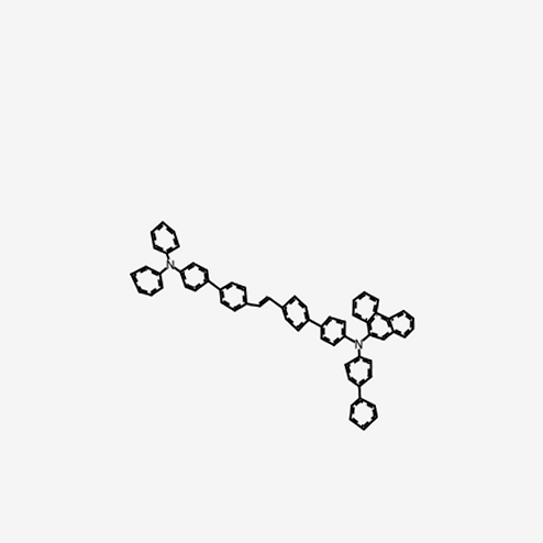 C(=C\c1ccc(-c2ccc(N(c3ccc(-c4ccccc4)cc3)c3cc4ccccc4c4ccccc34)cc2)cc1)/c1ccc(-c2ccc(N(c3ccccc3)c3ccccc3)cc2)cc1